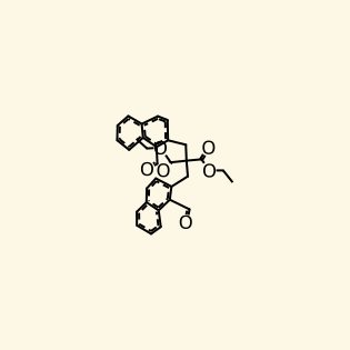 CCOC(=O)C(Cc1ccc2ccccc2c1C=O)(Cc1ccc2ccccc2c1C=O)C(=O)OCC